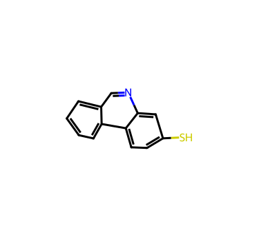 Sc1ccc2c(c1)ncc1ccccc12